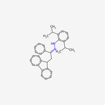 CC(C)c1cccc(C(C)C)c1NN=C(CC1c2ccccc2-c2ccccc21)c1ccccc1